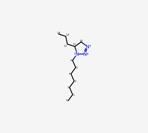 CCCCCCCN1N=NCC1CCC